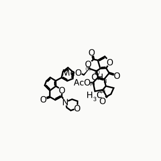 COC[C@H]1OC(=O)c2coc3c2[C@@]1(C)C1=C(C3=O)C2CCC(=O)[C@@]2(C)C[C@H]1OC(C)=O.O=c1cc(N2CCOCC2)oc2c(-c3ccccc3)cccc12